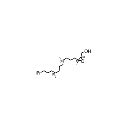 CC(C)CCC[C@@H](C)CCC[C@H](C)CCC[C@@]1(C)O[C@@H]1CO